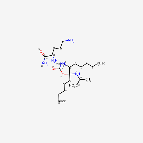 CCCCCCCCCCCCCCC(C)C(CCCCCCCCCCCCCC)(N[C@@H](C)C(=O)O)OC(N)=O.NCCC[C@H](N)C(N)=O